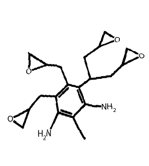 Cc1c(N)c(CC2CO2)c(CC2CO2)c(C(CC2CO2)CC2CO2)c1N